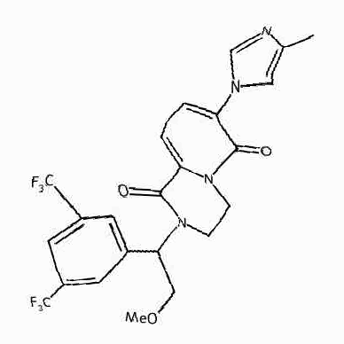 COCC(c1cc(C(F)(F)F)cc(C(F)(F)F)c1)N1CCn2c(ccc(-n3cnc(C)c3)c2=O)C1=O